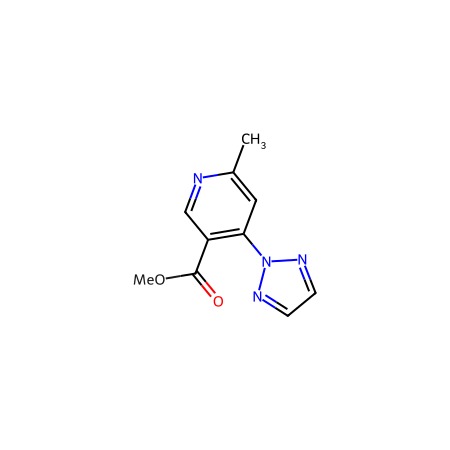 COC(=O)c1cnc(C)cc1-n1nccn1